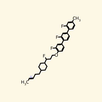 C/C=C/CCC1CCC(C(F)CCOc2ccc(-c3ccc(-c4ccc(C)cc4F)cc3F)cc2F)CC1